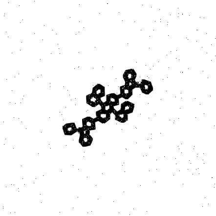 c1ccc(-n2c3ccccc3c3cc(-c4ccc5c(-c6cccc7ccccc67)c6cc(-c7ccc8c(c7)c7ccccc7n8-c7ccccc7)ccc6c(-c6cccc7ccccc67)c5c4)ccc32)cc1